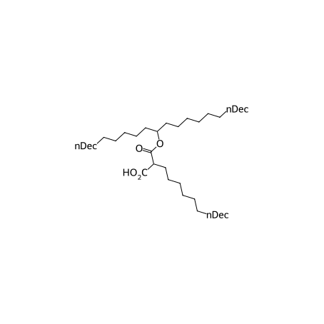 CCCCCCCCCCCCCCCCC(CCCCCCCCCCCCCCC)OC(=O)C(CCCCCCCCCCCCCCCC)C(=O)O